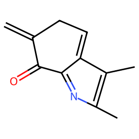 C=C1CC=C2C(=NC(C)=C2C)C1=O